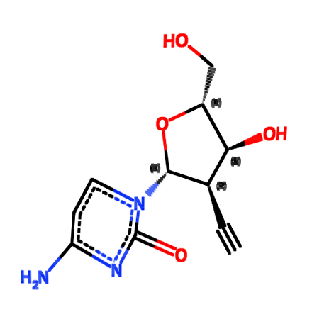 C#C[C@@H]1[C@H](O)[C@@H](CO)O[C@H]1n1ccc(N)nc1=O